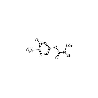 CCN(C(=O)Oc1ccc([N+](=O)[O-])c(Cl)c1)C(C)(C)C